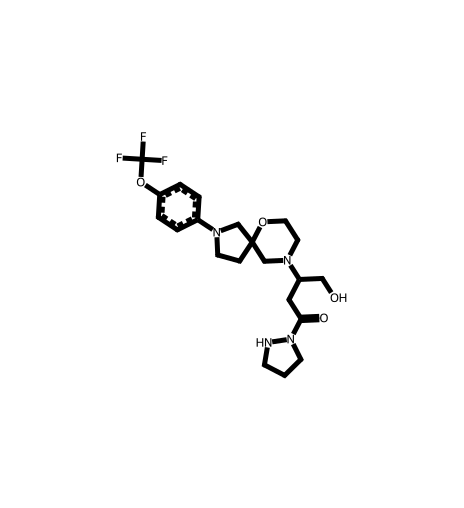 O=C(CC(CO)N1CCOC2(CCN(c3ccc(OC(F)(F)F)cc3)C2)C1)N1CCCN1